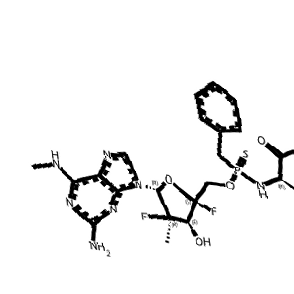 CNc1nc(N)nc2c1ncn2[C@@H]1O[C@](F)(COP(=S)(Cc2ccccc2)N[C@H](C)C(=O)OC)[C@@H](O)[C@@]1(C)F